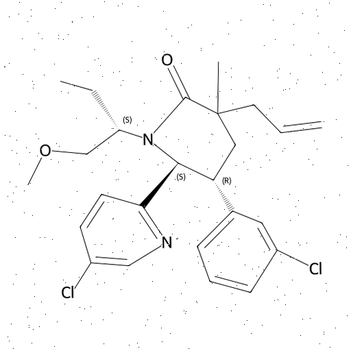 C=CCC1(C)C[C@H](c2cccc(Cl)c2)[C@@H](c2ccc(Cl)cn2)N([C@@H](CC)COC)C1=O